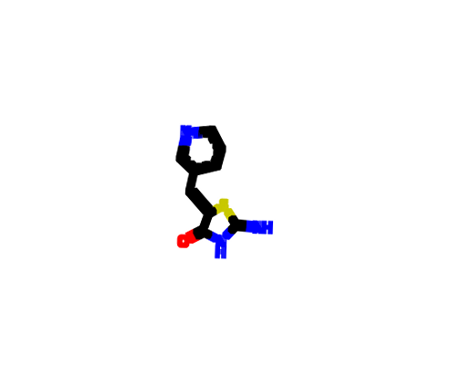 N=C1NC(=O)/C(=C/c2cccnc2)S1